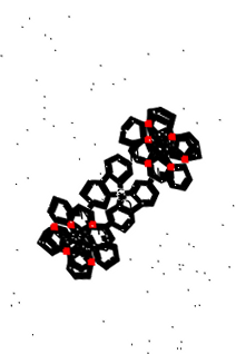 O=S12(c3cc(N4c5ccccc5C(c5ccccc5)(c5ccccc5)c5ccccc54)ccc3-c3ccc(N4c5ccccc5C(c5ccccc5)(c5ccccc5)c5ccccc54)cc31)c1cc(N3c4ccccc4C(c4ccccc4)(c4ccccc4)c4ccccc43)ccc1-c1ccc(N3c4ccccc4C(c4ccccc4)(c4ccccc4)c4ccccc43)cc12